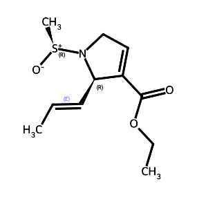 C/C=C/[C@@H]1C(C(=O)OCC)=CCN1[S@+](C)[O-]